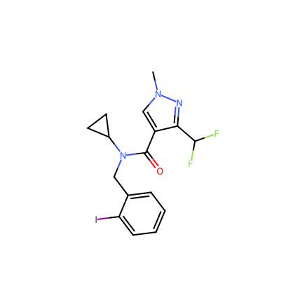 Cn1cc(C(=O)N(Cc2ccccc2I)C2CC2)c(C(F)F)n1